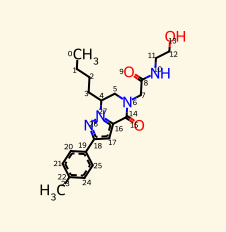 CCCCC1CN(CC(=O)NCCO)C(=O)c2cc(-c3ccc(C)cc3)nn21